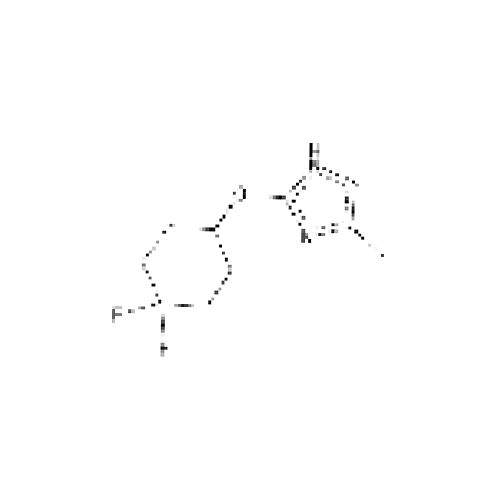 Cc1c[nH]c(OC2CCC(F)(F)CC2)n1